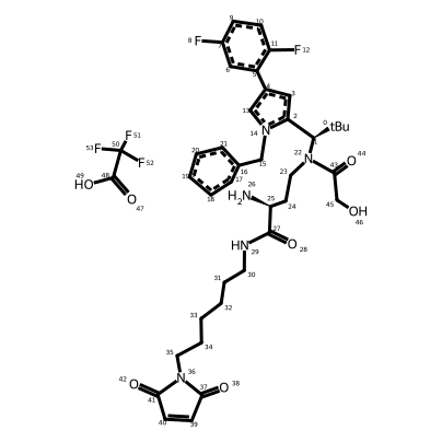 CC(C)(C)[C@H](c1cc(-c2cc(F)ccc2F)cn1Cc1ccccc1)N(CC[C@H](N)C(=O)NCCCCCCN1C(=O)C=CC1=O)C(=O)CO.O=C(O)C(F)(F)F